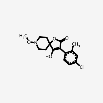 CON1CCC2(CC1)OC(=O)C(c1ccc(Cl)cc1C)=C2O